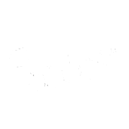 CCOC(=O)C(C)(C)Oc1c(C)cc(Cn2ccn(-c3ccccc3)c2=O)cc1C